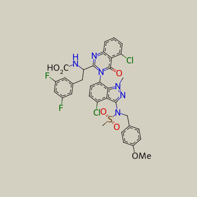 COc1ccc(CN(c2nn(C)c3c(-n4c(C(Cc5cc(F)cc(F)c5)NC(=O)O)nc5cccc(Cl)c5c4=O)ccc(Cl)c23)S(C)(=O)=O)cc1